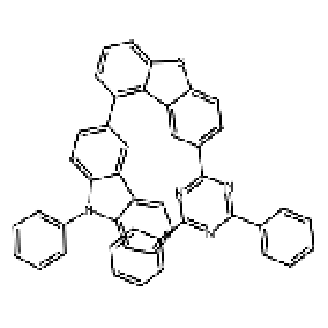 c1ccc(-c2nc(-c3ccccc3)nc(-c3ccc4sc5cccc(-c6ccc7c(c6)c6ccccc6n7-c6ccccc6)c5c4c3)n2)cc1